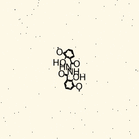 COc1cccc(C(=O)NNC(=O)c2cccc(OC)c2O)c1O